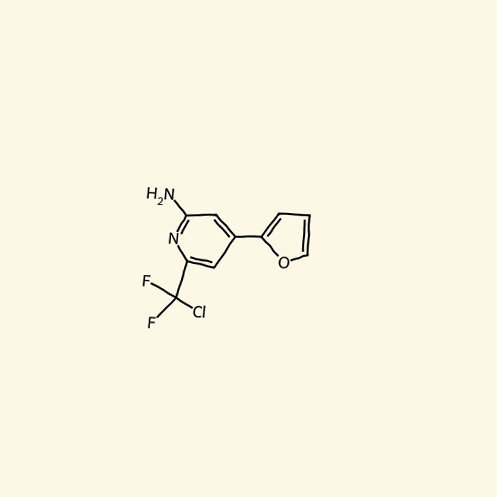 Nc1cc(-c2ccco2)cc(C(F)(F)Cl)n1